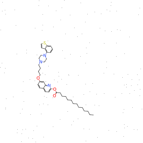 CCCCCCCCCCCCCC(=O)Oc1ccc2ccc(OCCCCN3CCN(c4cccc5sccc45)CC3)cc2n1